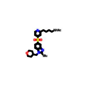 CC(=O)NCCCCc1cc(S(=O)(=O)c2ccc3c(c2)nc(C(C)(C)C)n3CC2CCOCC2)ccn1